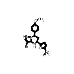 COc1ccc(C2CC(c3ccc([N+](=O)[O-])o3)NC3C(Br)=CNN32)cc1